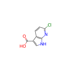 O=C(O)c1c[nH]c2nc(Cl)ccc12